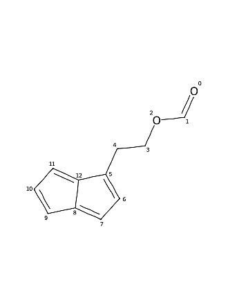 O=COCCC1=CC=C2C=CC=C21